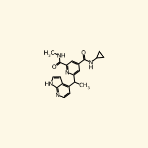 CNC(=O)c1cc(C(=O)NC2CC2)cc(C(C)c2ccnc3[nH]ccc23)n1